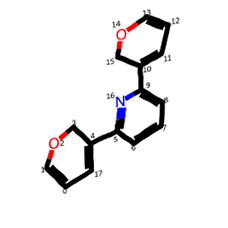 C1=COCC(c2cccc(C3=CC=COC3)n2)=C1